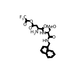 COC[C@H](NC(=O)[C@@H](N)CC(=O)OC(=O)C(F)(F)F)C(=O)NCc1cccc2ccccc12